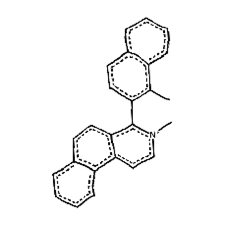 Cc1c(-c2c3ccc4ccccc4c3cc[n+]2C)ccc2ccccc12